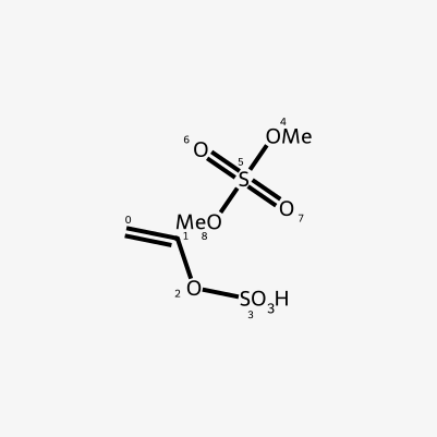 C=COS(=O)(=O)O.COS(=O)(=O)OC